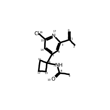 C=C(C)c1cc(C2(NC(C)=O)CCC2)cc(Cl)n1